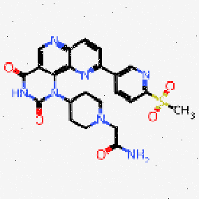 CS(=O)(=O)c1ccc(-c2ccc3ncc4c(=O)[nH]c(=O)n(C5CCN(CC(N)=O)CC5)c4c3n2)cn1